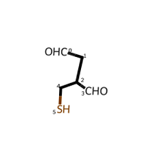 O=CCC(C=O)CS